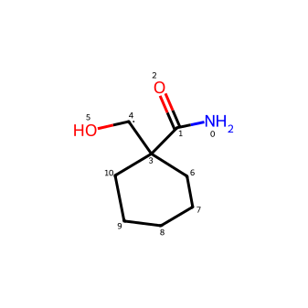 NC(=O)C1([CH]O)CCCCC1